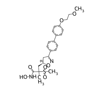 COCCOc1ccc(-c2ccc(C3=NO[C@@H](CC(C)(C(=O)NO)S(C)(=O)=O)C3)cc2)cc1